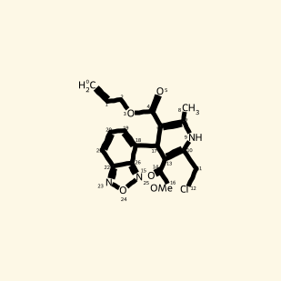 C=CCOC(=O)C1=C(C)NC(CCl)=C(C(=O)OC)C1c1cccc2nonc12